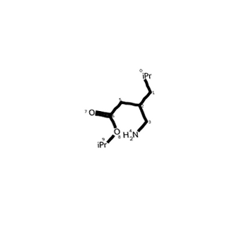 CC(C)CC(CN)CC(=O)OC(C)C